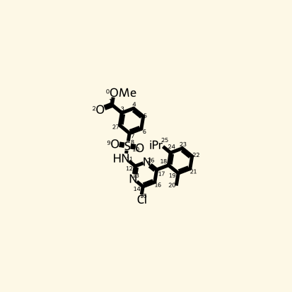 COC(=O)c1cccc(S(=O)(=O)Nc2nc(Cl)cc(-c3c(C)cccc3C(C)C)n2)c1